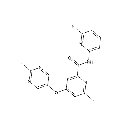 Cc1cc(Oc2cnc(C)nc2)cc(C(=O)Nc2cccc(F)n2)n1